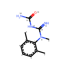 Cc1cccc(C)c1N(C)C(=N)NC(N)=O